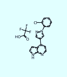 Clc1ccccc1-n1cc(-c2ccnc3[nH]ccc23)cn1.O=C(O)C(F)(F)F